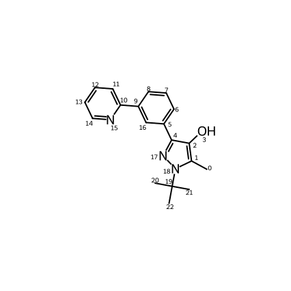 Cc1c(O)c(-c2cccc(-c3ccccn3)c2)nn1C(C)(C)C